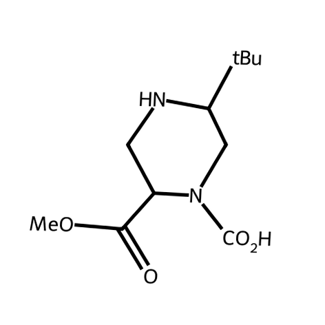 COC(=O)C1CNC(C(C)(C)C)CN1C(=O)O